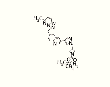 Cc1ccc2nnc(Cc3ccc4ncc(-c5cnn(CC6CN(C(=O)OC(C)(C)C)C6)c5)cc4c3)n2n1